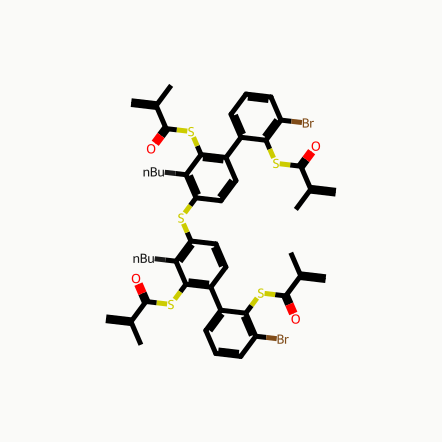 C=C(C)C(=O)Sc1c(Br)cccc1-c1ccc(Sc2ccc(-c3cccc(Br)c3SC(=O)C(=C)C)c(SC(=O)C(=C)C)c2CCCC)c(CCCC)c1SC(=O)C(=C)C